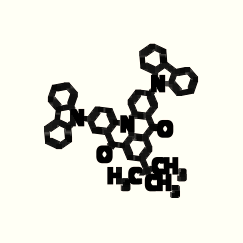 CC(C)(C)c1cc2c(=O)c3cc(-n4c5ccccc5c5ccccc54)ccc3n3c4ccc(-n5c6ccccc6c6ccccc65)cc4c(=O)c(c1)c23